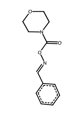 O=C(ON=Cc1ccccc1)N1CCOCC1